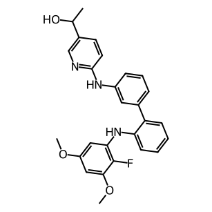 COc1cc(Nc2ccccc2-c2cccc(Nc3ccc(C(C)O)cn3)c2)c(F)c(OC)c1